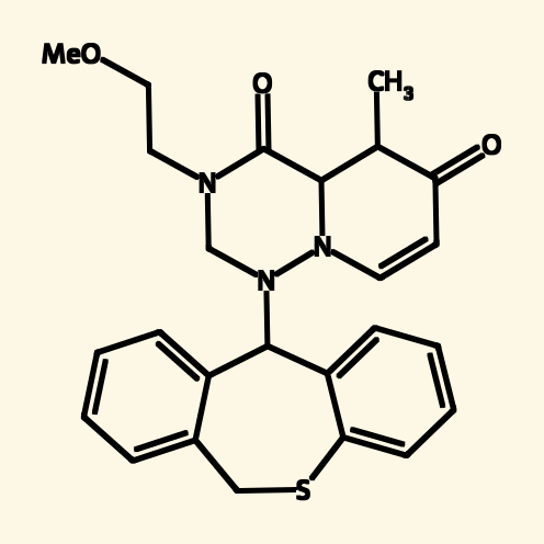 COCCN1CN(C2c3ccccc3CSc3ccccc32)N2C=CC(=O)C(C)C2C1=O